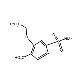 CCOC(=O)COc1cc(S(=O)(=O)NC)ccc1C(=O)O